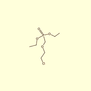 CCOP(=O)(COCCCl)OCC